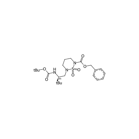 CC(C)(C)OC(=O)N[C@@H](CN1CCCN(C(=O)OCc2ccccc2)S1(=O)=O)C(C)(C)C